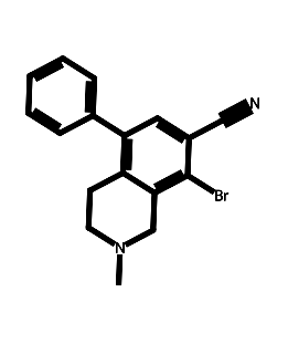 CN1CCc2c(-c3ccccc3)cc(C#N)c(Br)c2C1